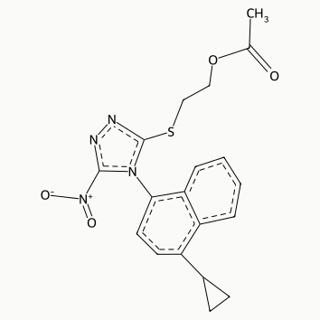 CC(=O)OCCSc1nnc([N+](=O)[O-])n1-c1ccc(C2CC2)c2ccccc12